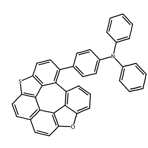 c1ccc(N(c2ccccc2)c2ccc(-c3ccc4sc5ccc6ccc7oc8cccc9c8c7c6c5c4c3-9)cc2)cc1